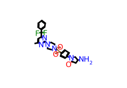 Cc1cc(C(F)(F)c2ccccc2)nc(N2CCN(S(=O)(=O)c3ccc(N4CC(N)CC4=O)cc3)CC2)n1